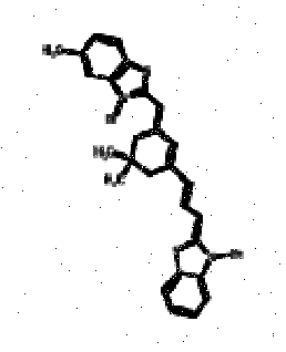 CCN1/C(=C/C=C/C2=CC(=C/c3sc4ccc(C)cc4[n+]3CC)/CC(C)(C)C2)Sc2ccccc21